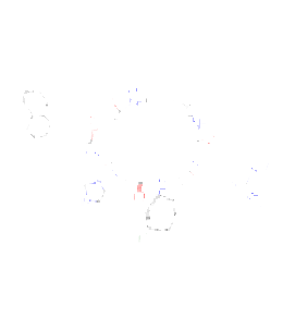 N=C(N)NCCC[C@@H]1NC(=O)[C@@H](Cc2ccc(F)cc2)NC(=O)[C@H](Cc2c[nH]cn2)NC(=O)[C@@H](NC(=O)CCc2cccc3ccccc23)CCC(=O)NCCCCNC1O